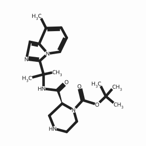 Cc1cccn2c(C(C)(C)NC(=O)[C@@H]3CNCCN3C(=O)OC(C)(C)C)ncc12